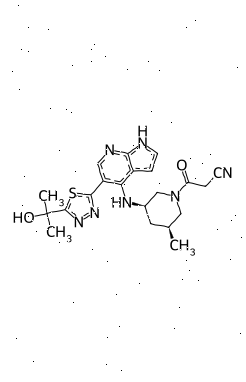 C[C@H]1C[C@@H](Nc2c(-c3nnc(C(C)(C)O)s3)cnc3[nH]ccc23)CN(C(=O)CC#N)C1